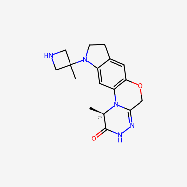 C[C@@H]1C(=O)NN=C2COc3cc4c(cc3N21)N(C1(C)CNC1)CC4